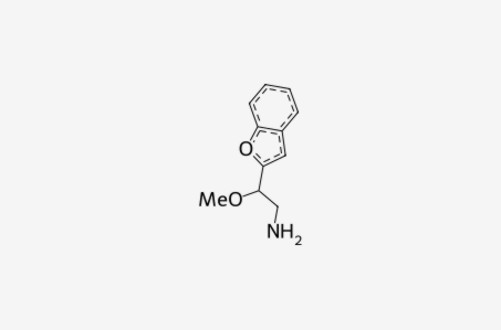 COC(CN)c1cc2ccccc2o1